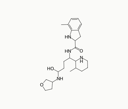 Cc1cccc2c1NC(C(=O)NC(CCC(O)NC1CCOC1)C1NCCCC1C)C2